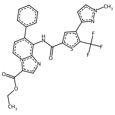 CCOC(=O)c1cnc2c(NC(=O)c3cc(-c4ccn(C)n4)c(C(F)(F)F)s3)c(-c3ccccc3)ccn12